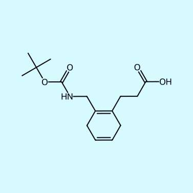 CC(C)(C)OC(=O)NCC1=C(CCC(=O)O)CC=CC1